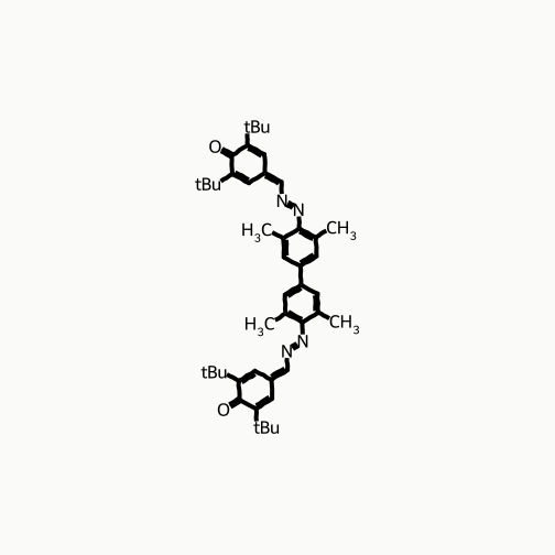 Cc1cc(-c2cc(C)c(/N=N/C=C3C=C(C(C)(C)C)C(=O)C(C(C)(C)C)=C3)c(C)c2)cc(C)c1/N=N/C=C1C=C(C(C)(C)C)C(=O)C(C(C)(C)C)=C1